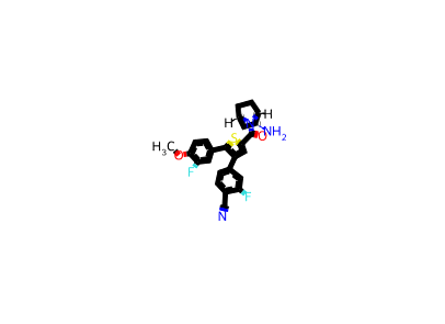 COc1ccc(-c2sc(C(=O)N3[C@@H]4CC[C@H]3[C@H](N)C4)cc2-c2ccc(C#N)c(F)c2)cc1F